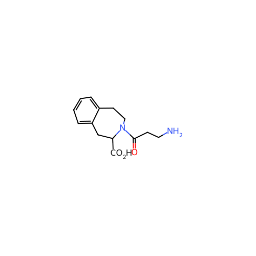 NCCC(=O)N1CCc2ccccc2CC1C(=O)O